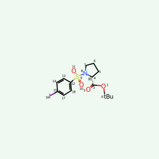 CC(C)(C)OC(=O)[C@H]1CCCN1S(=O)(=O)c1ccc(I)cc1